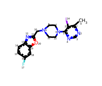 Cc1ncnc(N2CCN(Cc3nc4ccc(F)cc4o3)CC2)c1I